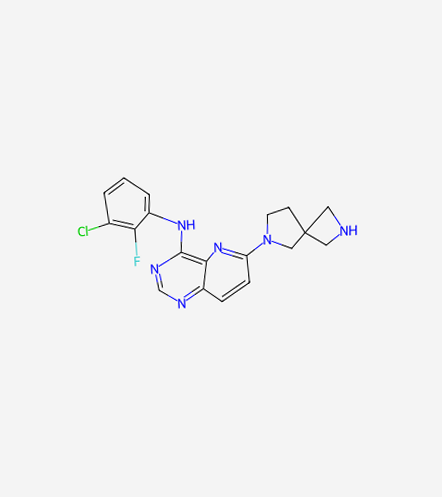 Fc1c(Cl)cccc1Nc1ncnc2ccc(N3CCC4(CNC4)C3)nc12